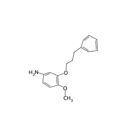 COc1ccc(N)cc1OCCCc1ccccc1